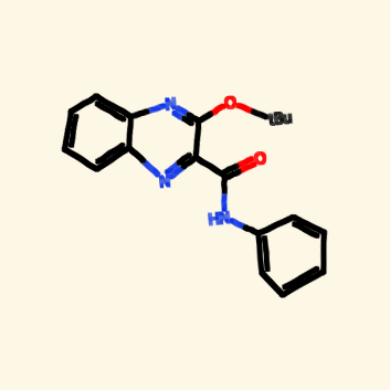 CC(C)(C)Oc1nc2ccccc2nc1C(=O)Nc1ccccc1